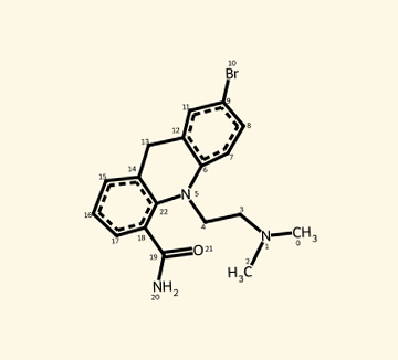 CN(C)CCN1c2ccc(Br)cc2Cc2cccc(C(N)=O)c21